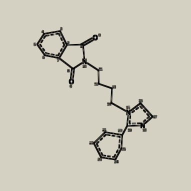 O=C1c2ccccc2C(=O)N1CCCCn1ccnc1-c1ccccc1